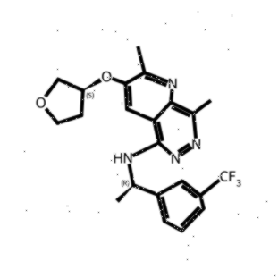 Cc1nc2c(C)nnc(N[C@H](C)c3cccc(C(F)(F)F)c3)c2cc1O[C@H]1CCOC1